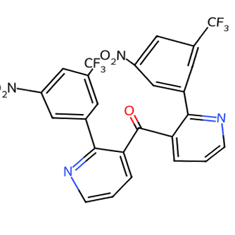 O=C(c1cccnc1-c1cc([N+](=O)[O-])cc(C(F)(F)F)c1)c1cccnc1-c1cc([N+](=O)[O-])cc(C(F)(F)F)c1